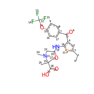 CCc1cc(C(=O)c2ccc(OC(F)(F)F)cc2)c(NC(=O)CN(C)C(C)(C)C(=O)O)s1